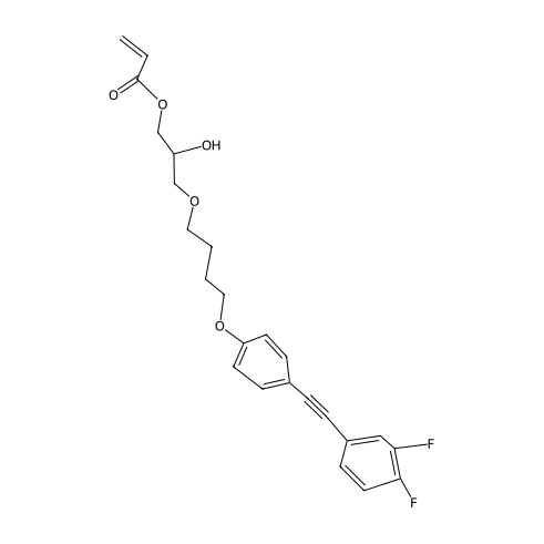 C=CC(=O)OCC(O)COCCCCOc1ccc(C#Cc2ccc(F)c(F)c2)cc1